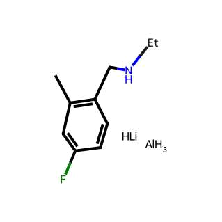 CCNCc1ccc(F)cc1C.[AlH3].[LiH]